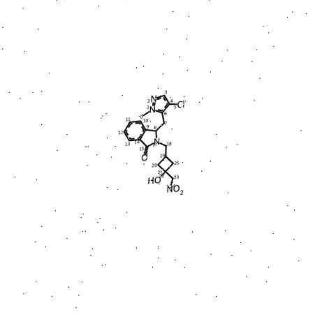 Cn1ncc(Cl)c1CC1c2ccccc2C(=O)N1CC1CC(O)(C[N+](=O)[O-])C1